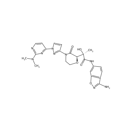 CN(C)c1nccc(-n2ccc(N3CCO[C@H]([C@@](C)(O)C(=O)Nc4ccc5c(N)noc5c4)C3=O)n2)n1